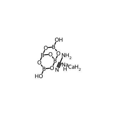 N#CN.OB1OB2OB(O)OB(O1)O2.[CaH2].[NaH]